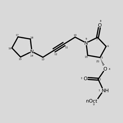 CCCCCCCCNC(=O)O[C@H]1CC(=O)N(CC#CCN2CCCC2)C1